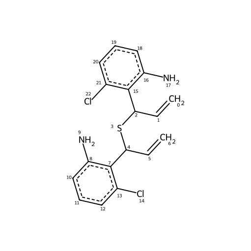 C=CC(SC(C=C)c1c(N)cccc1Cl)c1c(N)cccc1Cl